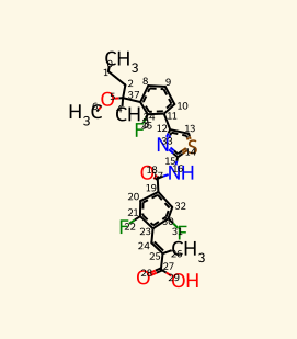 CCCC(C)(OC)c1cccc(-c2csc(NC(=O)c3cc(F)c(C=C(C)C(=O)O)c(F)c3)n2)c1F